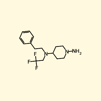 NN1CCC(N(CCc2ccccc2)CC(F)(F)F)CC1